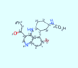 CC(C)CC(=O)c1cnc2ccc(Br)cc2c1N[C@H]1CC[C@H](NC(=O)O)CC1